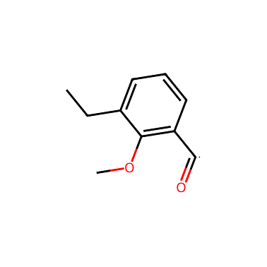 CCc1cccc([C]=O)c1OC